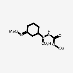 CON=C1CCCC(N(NC(=O)OC(C)(C)C)C(=O)O)C1